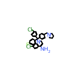 NC1=CCN(C(c2ccc(F)cc2)(c2ccc(Cl)cc2)c2ccc(CN3CCCC3)cc2)c2cc(Cl)ccc21